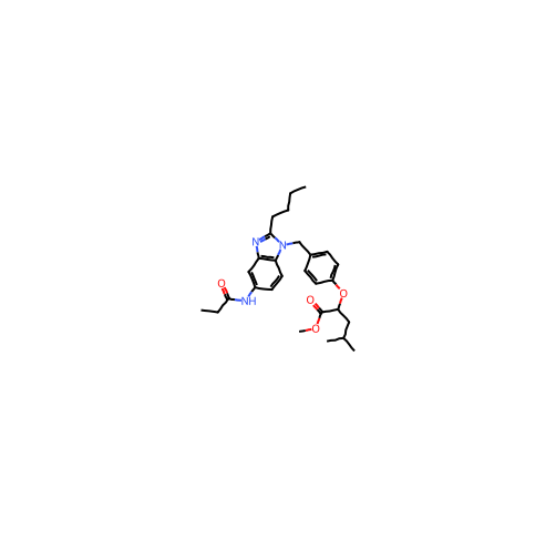 CCCCc1nc2cc(NC(=O)CC)ccc2n1Cc1ccc(OC(CC(C)C)C(=O)OC)cc1